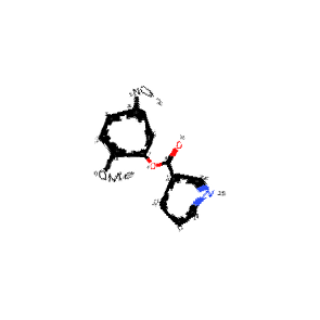 COc1ccc([N+](=O)[O-])cc1OC(=O)c1cccnc1